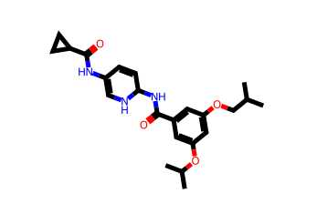 CC(C)COc1cc(OC(C)C)cc(C(=O)NC2C=CC(NC(=O)C3CC3)=CN2)c1